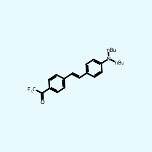 CCCCN(CCCC)c1ccc(C=Cc2ccc(C(=O)C(F)(F)F)cc2)cc1